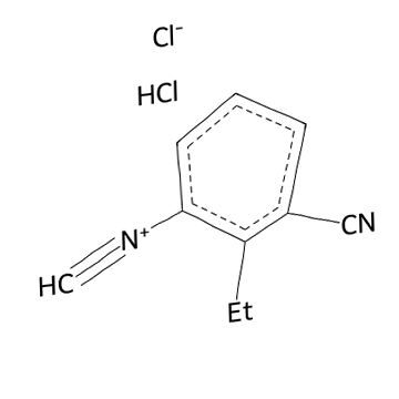 C#[N+]c1cccc(C#N)c1CC.Cl.[Cl-]